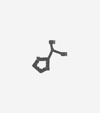 OB(O)c1nccs1